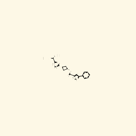 CC(C)c1nnc([C@H]2C[C@H](NC(=O)c3cc(-c4ccccc4)on3)C2)o1